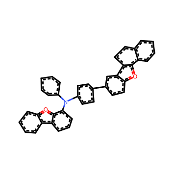 c1ccc(N(c2ccc(-c3ccc4oc5c6ccccc6ccc5c4c3)cc2)c2cccc3c2oc2ccccc23)cc1